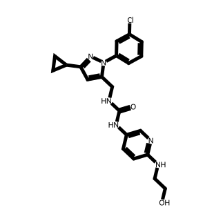 O=C(NCc1cc(C2CC2)nn1-c1cccc(Cl)c1)Nc1ccc(NCCO)nc1